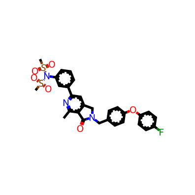 Cc1nc(-c2cccc(N(S(C)(=O)=O)S(C)(=O)=O)c2)cc2c1C(=O)N(Cc1ccc(Oc3ccc(F)cc3)cc1)C2